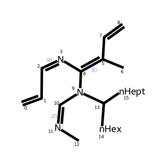 C=C/C=N\C(=C(\C)C=C)N(/C=N\C)C(CCCCCC)CCCCCCC